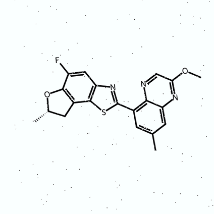 [CH2][C@H]1Cc2c(c(F)cc3nc(-c4cc(C)cc5nc(OC)cnc45)sc23)O1